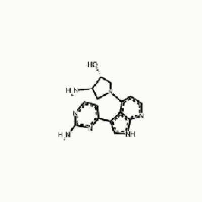 Nc1nccc(-c2c[nH]c3nccc(N4C[C@@H](N)[C@H](O)C4)c23)n1